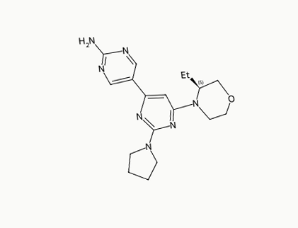 CC[C@H]1COCCN1c1cc(-c2cnc(N)nc2)nc(N2CCCC2)n1